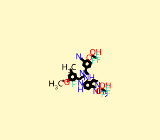 CCOc1cc(CC)cc(C(Nc2ccc3c(N)nccc3c2)c2nc(-c3cccc(C#N)c3)c[nH]2)c1F.O=C(O)C(F)(F)F.O=C(O)C(F)(F)F